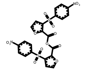 O=C(OC(=O)c1occc1S(=O)(=O)c1ccc([N+](=O)[O-])cc1)c1occc1S(=O)(=O)c1ccc([N+](=O)[O-])cc1